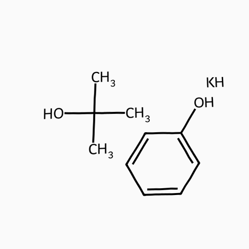 CC(C)(C)O.Oc1ccccc1.[KH]